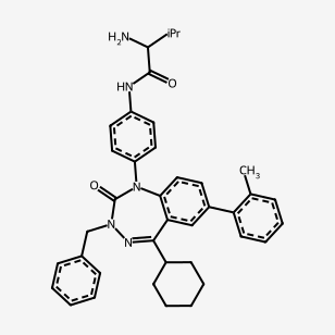 Cc1ccccc1-c1ccc2c(c1)C(C1CCCCC1)=NN(Cc1ccccc1)C(=O)N2c1ccc(NC(=O)C(N)C(C)C)cc1